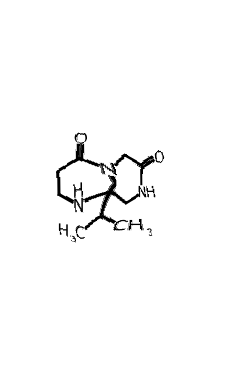 CC(C)C12CNC(=O)CN1C(=O)CCN2